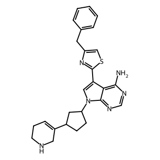 Nc1ncnc2c1c(-c1nc(Cc3ccccc3)cs1)cn2C1CCC(C2=CCCNC2)C1